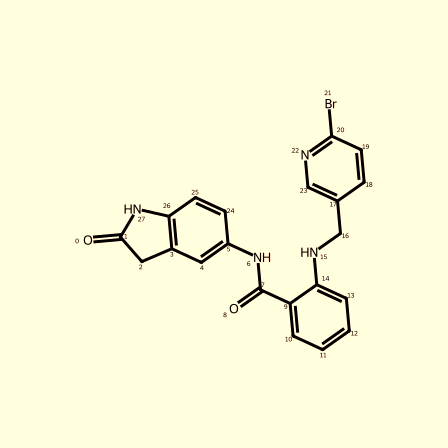 O=C1Cc2cc(NC(=O)c3ccccc3NCc3ccc(Br)nc3)ccc2N1